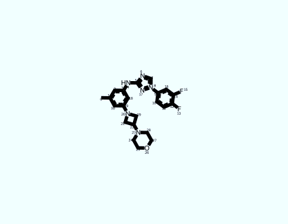 Cc1cc(Nc2ncn(-c3ccc(F)c(F)c3)n2)cc(N2CC(N3CCOCC3)C2)c1